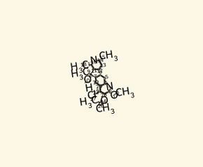 COc1nc2ccc([C@@](C)(O)c3ccc(C)nc3C)cc2c(Cl)c1OC(C)C